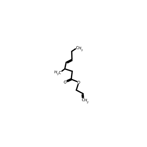 C=CCOC(=O)CC(C)/C=C/CC